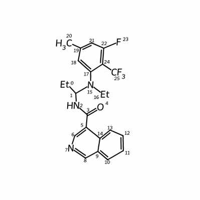 CCC(NC(=O)c1cncc2ccccc12)N(CC)c1cc(C)cc(F)c1C(F)(F)F